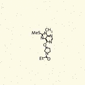 CCC(=O)N1CC[C@H](Oc2ncnc3c2nc(SC)n3C)C1